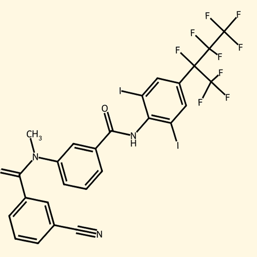 CN(C(=O)c1cccc(C#N)c1)c1cccc(C(=O)Nc2c(I)cc(C(F)(C(F)(F)F)C(F)(F)C(F)(F)F)cc2I)c1